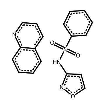 O=S(=O)(Nc1ccon1)c1ccccc1.c1ccc2ncccc2c1